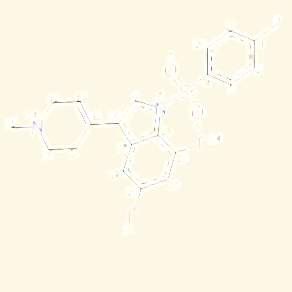 Cc1ccc(S(=O)(=O)n2cc(C3=CCN(C)CC3)c3cc(F)cc(F)c32)cc1